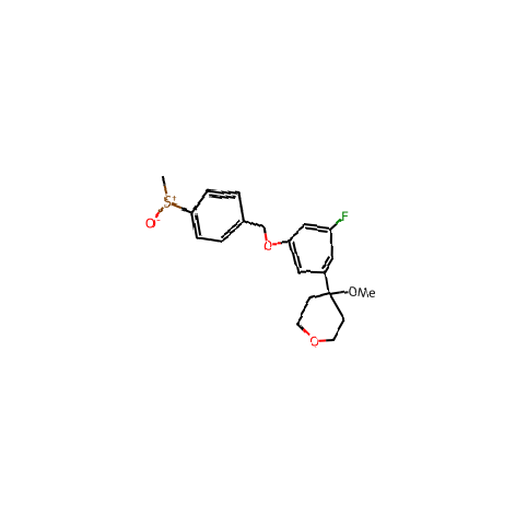 COC1(c2cc(F)cc(OCc3ccc([S+](C)[O-])cc3)c2)CCOCC1